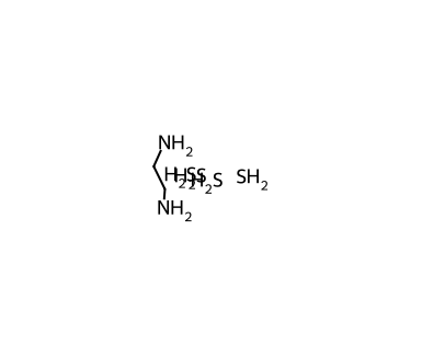 NCCN.S.S.S.S